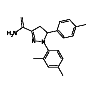 C=C(N)C1=NN(c2ccc(C)cc2C)C(c2ccc(C)cc2)C1